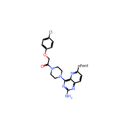 CCCCCc1ccc2nc(N)nc(N3CCN(C(=O)COc4ccc(Cl)cc4)CC3)c2n1